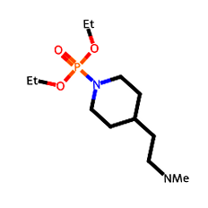 CCOP(=O)(OCC)N1CCC(CCNC)CC1